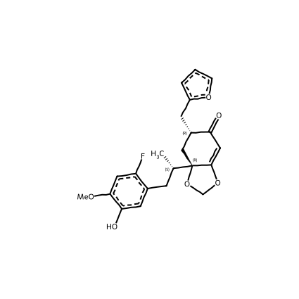 COc1cc(F)c(C[C@H](C)[C@]23C[C@H](Cc4ccco4)C(=O)C=C2OCO3)cc1O